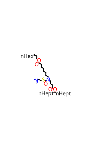 CCCCCC/C=C\COC(=O)CCCCCCCN(CCCC(=O)OC(CCCCCCC)CCCCCCC)C(=O)SCCN(C)C